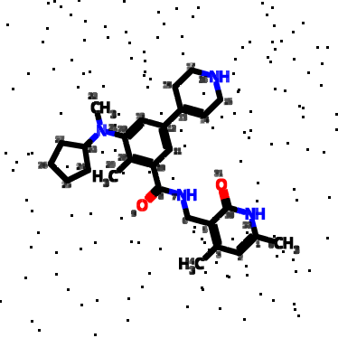 Cc1cc(C)c(CNC(=O)c2cc(C3=CCNCC3)cc(N(C)C3CCCC3)c2C)c(=O)[nH]1